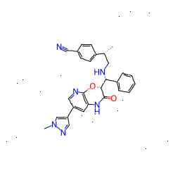 C[C@H](CN[C@H](c1ccccc1)[C@H]1Oc2ncc(-c3cnn(C)c3)cc2NC1=O)c1ccc(C#N)cc1